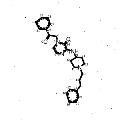 O=C(Cn1ccnc(NC2CCN(CCCc3ccccc3)CC2)c1=O)c1ccccc1